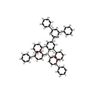 c1ccc(-c2ccc(N(c3ccc(-c4ccccc4)cc3)c3c(-c4ccccc4)cc(-c4nc(-c5ccccc5)cc(-c5ccccc5)n4)cc3-c3ccccc3)cc2)cc1